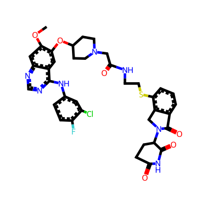 COc1cc2ncnc(Nc3ccc(F)c(Cl)c3)c2cc1OC1CCN(CC(=O)NCCSc2cccc3c2CN(C2CCC(=O)NC2=O)C3=O)CC1